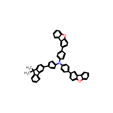 CC1(C)c2ccccc2-c2cc(-c3ccc(N(c4ccc(-c5ccc6oc7ccccc7c6c5)cc4)c4ccc(-c5ccc6oc7ccccc7c6c5)cc4)cc3)ccc21